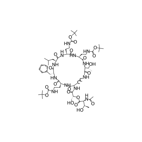 CC(=O)N[C@H](C(=O)O[C@H](CO)C(=O)N[C@H]1CCNC(=O)[C@H]([C@@H](C)O)NC(=O)[C@H](CCNC(=O)OC(C)(C)C)NC(=O)[C@H](CCNC(=O)OC(C)(C)C)NC(=O)[C@H](CC(C)C)NC(=O)[C@@H](Cc2ccccc2)NC(=O)[C@H](CCNC(=O)OC(C)(C)C)NC1=O)[C@@H](C)O